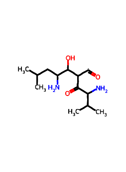 CC(C)CC(N)C(O)C([C]=O)C(=O)C(N)C(C)C